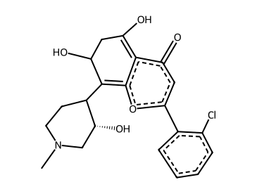 CN1CCC(C2=c3oc(-c4ccccc4Cl)cc(=O)c3=C(O)CC2O)[C@H](O)C1